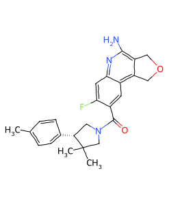 Cc1ccc([C@@H]2CN(C(=O)c3cc4c5c(c(N)nc4cc3F)COC5)CC2(C)C)cc1